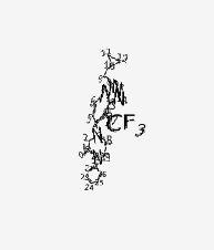 C[C@H]1CN(c2ccn3c(CC4CC4)nnc3c2C(F)(F)F)CCN1c1ccccc1